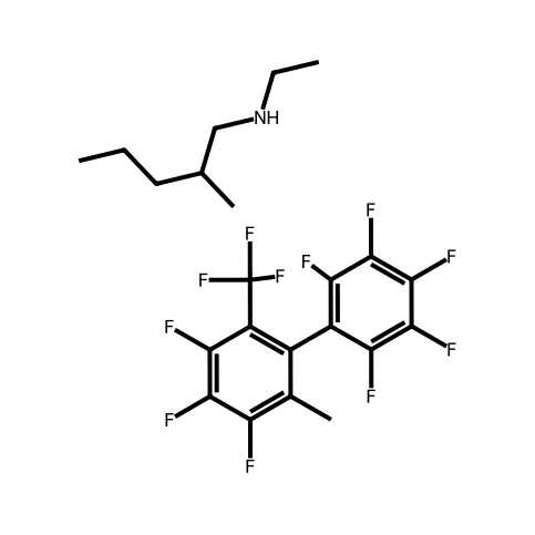 CCCC(C)CNCC.Cc1c(F)c(F)c(F)c(C(F)(F)F)c1-c1c(F)c(F)c(F)c(F)c1F